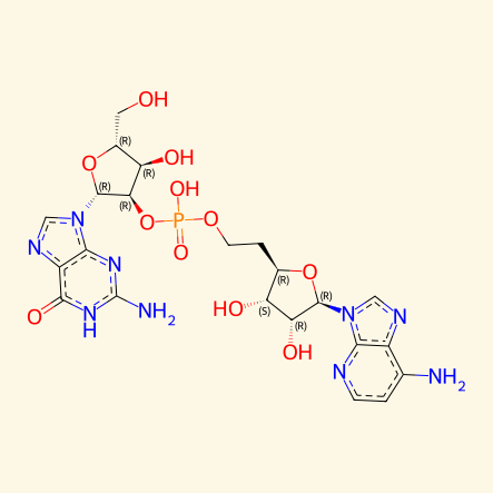 Nc1nc2c(ncn2[C@@H]2O[C@H](CO)[C@@H](O)[C@H]2OP(=O)(O)OCC[C@H]2O[C@@H](n3cnc4c(N)ccnc43)[C@H](O)[C@@H]2O)c(=O)[nH]1